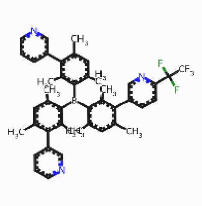 Cc1cc(C)c(-c2cccnc2)c(C)c1B(c1c(C)cc(C)c(-c2cccnc2)c1C)c1c(C)cc(C)c(-c2ccc(C(F)(F)C(F)(F)F)nc2)c1C